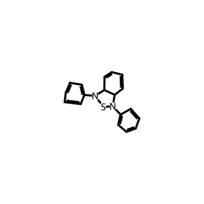 C1=CC2C(C=C1)N(c1ccccc1)SN2c1ccccc1